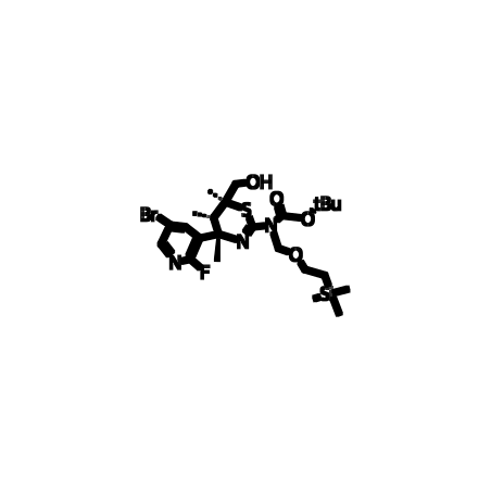 C[C@@H]1[C@@](C)(CO)SC(N(COCC[Si](C)(C)C)C(=O)OC(C)(C)C)=N[C@]1(C)c1cc(Br)cnc1F